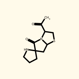 CC(=O)C1CSC2CC3(CCCN3)C(=O)N21